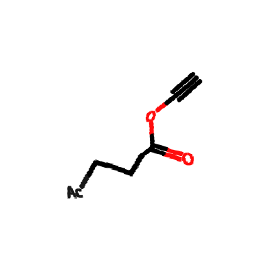 C#COC(=O)CCC(C)=O